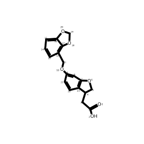 O=C(O)CC1COc2cc(OCc3cccc4c3OCO4)ccc21